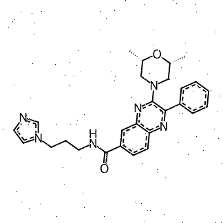 C[C@@H]1CN(c2nc3cc(C(=O)NCCCn4ccnc4)ccc3nc2-c2ccccc2)C[C@H](C)O1